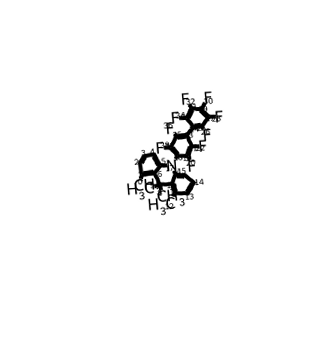 Cc1cccc2c1C(C)(C)c1c(C)cccc1N2c1c(F)c(F)c(-c2c(F)c(F)c(F)c(F)c2F)c(F)c1F